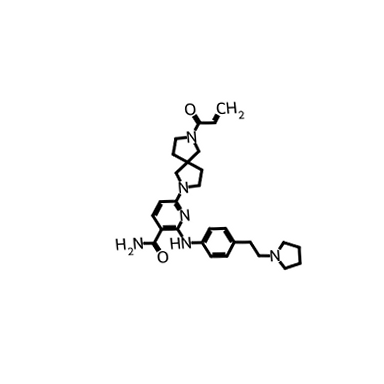 C=CC(=O)N1CCC2(CCN(c3ccc(C(N)=O)c(Nc4ccc(CCN5CCCC5)cc4)n3)C2)C1